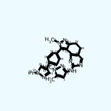 Cc1cc(Nc2ncc3c(n2)-c2c(nn(C)c2-c2ccc(-c4cnn(C(C)C)c4)cc2)CC3)nn1C